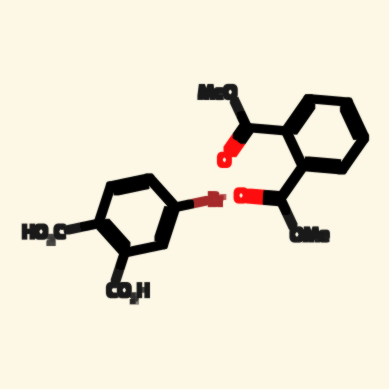 COC(=O)c1ccccc1C(=O)OC.O=C(O)c1ccc(Br)cc1C(=O)O